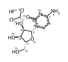 ClCCl.F.Nc1ccn([C@@H]2O[C@H](CO)[C@@H](O)[C@H]2O)c(=O)n1